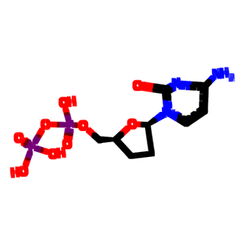 Nc1ccn([C@H]2CC[C@@H](COP(=O)(O)OP(=O)(O)O)O2)c(=O)n1